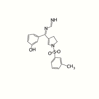 Cc1cccc(S(=O)(=O)N2C=C(/C(=N\C=N)c3cccc(O)c3)CC2)c1